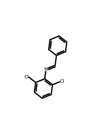 Clc1cccc(Cl)c1N=Cc1ccccc1